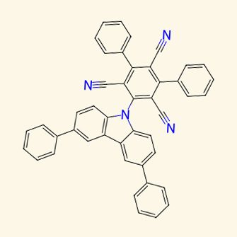 N#Cc1c(-c2ccccc2)c(C#N)c(-n2c3ccc(-c4ccccc4)cc3c3cc(-c4ccccc4)ccc32)c(C#N)c1-c1ccccc1